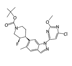 COc1nc(Cl)cc(-n2ncc3cc(C)c([C@@H]4CCN(C(=O)OC(C)(C)C)C[C@@H]4F)cc32)n1